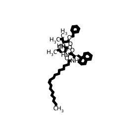 CCCCCCCC/C=C\CCCCCCCC(=O)N[C@@H](Cc1cccc2ccccc12)C(=O)N[C@@H](CC(C)C)C(=O)N[C@H](C(=O)OCc1ccccc1)C(C)C